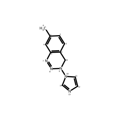 Cc1ccc2c(c1)N=NN(n1ccnc1)C2